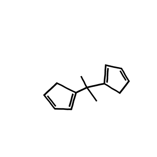 CC(C)(C1=CC=CC1)C1=CC=CC1